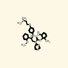 COc1ccccc1C(CN(C(=O)Oc1c(C)cccc1C)c1ccncn1)Nc1ccc(OCCN(C)C)cc1